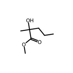 CCCC(C)(O)C(=O)OC